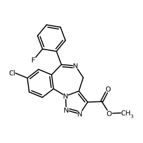 COC(=O)c1nnn2c1CN=C(c1ccccc1F)c1cc(Cl)ccc1-2